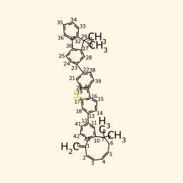 C=C1/C=C\C=C/CC(C)(C)c2cc(-c3ccc4c(c3)sc3cc(-c5ccc6c(c5)C(C)(C)c5ccccc5-6)ccc34)ccc21